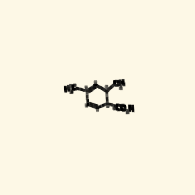 CC1=CC(O)C(C(=O)O)C=C1